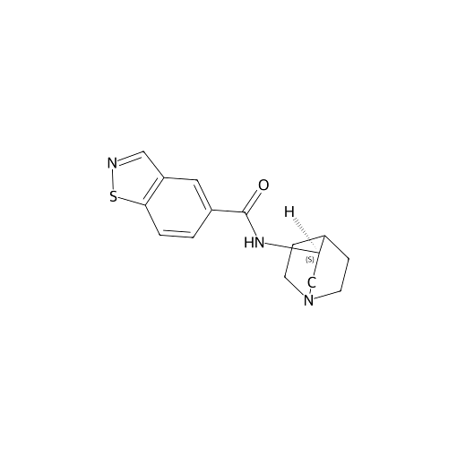 O=C(N[C@@H]1CN2CCC1CC2)c1ccc2sncc2c1